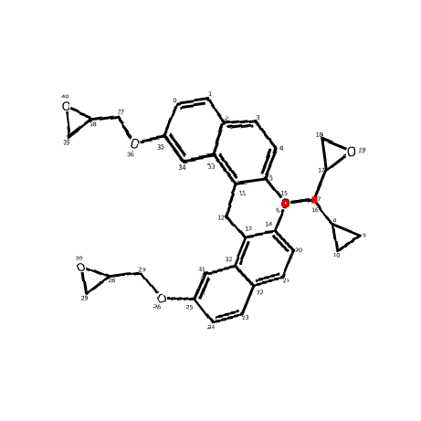 c1cc2ccc(OCC3CC3)c(Cc3c(OCC4CO4)ccc4ccc(OCC5CO5)cc34)c2cc1OCC1CO1